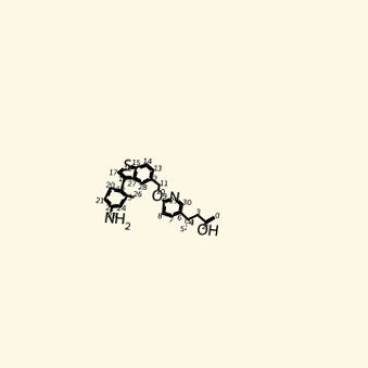 C=C(O)C[C@H](C)c1ccc(OCc2ccc3scc(-c4ccc(N)cc4C)c3c2)nc1